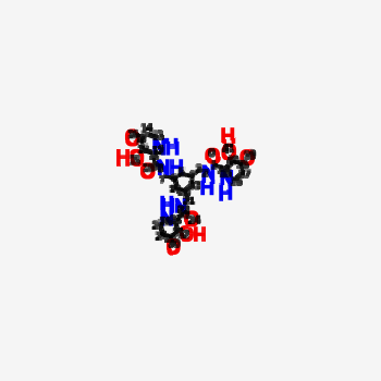 O=C(NCc1cc(CNC(=O)c2[nH]ccc(=O)c2O)cc(CNC(=O)c2[nH]ccc(=O)c2O)c1)c1[nH]ccc(=O)c1O